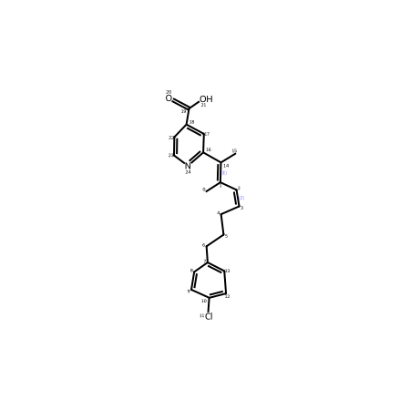 CC(/C=C\CCCc1ccc(Cl)cc1)=C(/C)c1cc(C(=O)O)ccn1